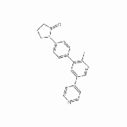 Cc1ncc(-c2ccncc2)cc1-c1ccc(N2CCCC2=O)cc1